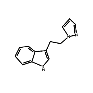 c1ccc2c(CCn3cccn3)c[nH]c2c1